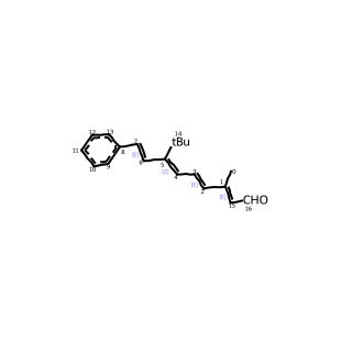 CC(/C=C/C=C(/C=C/c1ccccc1)C(C)(C)C)=C\C=O